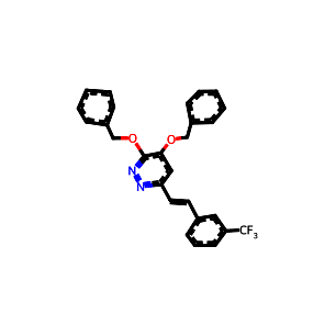 FC(F)(F)c1cccc(/C=C/c2cc(OCc3ccccc3)c(OCc3ccccc3)nn2)c1